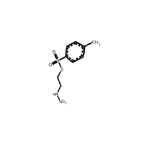 Cc1ccc(S(=O)(=O)OCCN[N+](=O)[O-])cc1